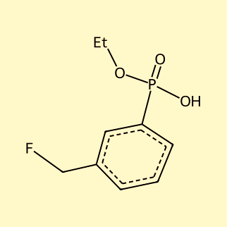 CCOP(=O)(O)c1cccc(CF)c1